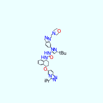 CC(C)c1nnc2ccc(O[C@@H]3CC[C@H](NC(=O)Nc4cc(C(C)(C)C)nn4-c4ccc5cnn(CCN6CCOCC6)c5c4)c4ccccc43)cn12